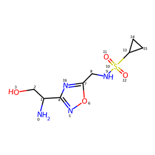 NC(CO)c1noc(CNS(=O)(=O)C2CC2)n1